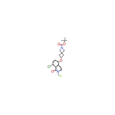 CC(C)(C)OC(=O)N1CC2(CC(Oc3ccc(Cl)c4c(=O)n(CF)ccc34)C2)C1